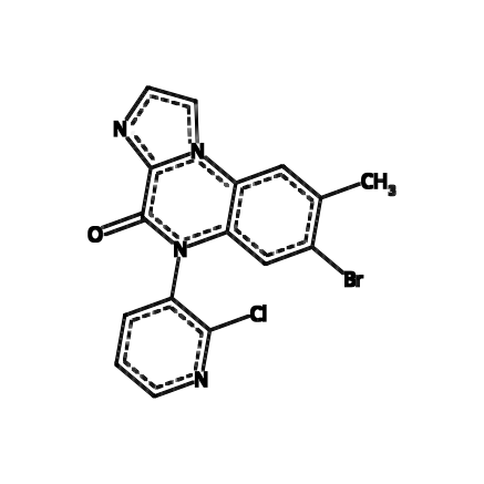 Cc1cc2c(cc1Br)n(-c1cccnc1Cl)c(=O)c1nccn12